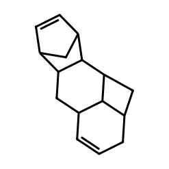 C1=CC2CC3C4C=CC(C4)C3C3CC(C1)C23